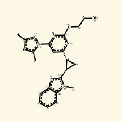 Cc1nc(C)n(-c2cc([C@@H]3C[C@H]3c3nc4ccccc4n3C)nc(OCCO)n2)n1